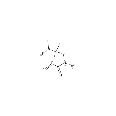 C=CC(=O)N(CCC)CC(F)(F)C(F)F